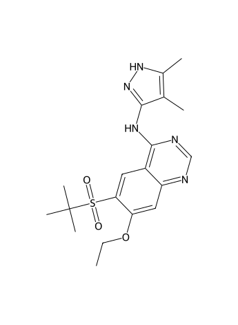 CCOc1cc2ncnc(Nc3n[nH]c(C)c3C)c2cc1S(=O)(=O)C(C)(C)C